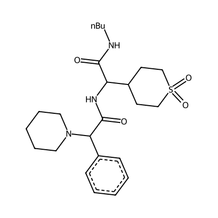 CCCCNC(=O)C(NC(=O)C(c1ccccc1)N1CCCCC1)C1CCS(=O)(=O)CC1